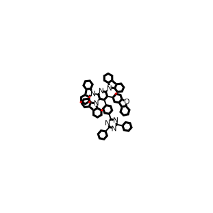 c1ccc(-c2nc(-c3ccccc3)nc(-c3ccc(-c4c(-c5ccc6oc7ccccc7c6c5)c(-n5c6ccccc6c6ccccc65)nc(-n5c6ccccc6c6ccccc65)c4-n4c5ccccc5c5ccccc54)cc3)n2)cc1